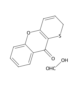 O=CO.O=c1c2c(oc3ccccc13)C=CCS2